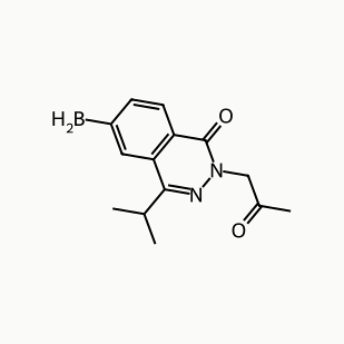 Bc1ccc2c(=O)n(CC(C)=O)nc(C(C)C)c2c1